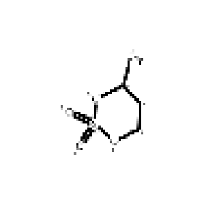 CCCC1CCOS(=O)(=O)O1